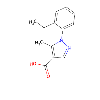 CCc1ccccc1-n1ncc(C(=O)O)c1C